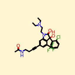 CCN(CC)CCN1C(=O)C(O)(c2ccccc2Cl)c2c1cc(C#CCCNC(C)=O)cc2C(F)(F)F